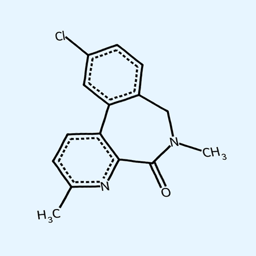 Cc1ccc2c(n1)C(=O)N(C)Cc1ccc(Cl)cc1-2